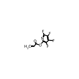 C=CC(=O)Oc1nc(F)c(F)c(F)c1F